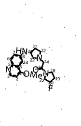 COc1ccnc2ccc(N[C@@H]3CCN(CC(=O)N4CC[C@H](F)C4)C3)cc12